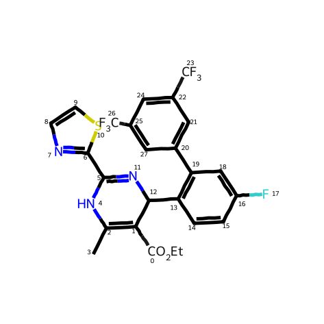 CCOC(=O)C1=C(C)NC(c2nccs2)=NC1c1ccc(F)cc1-c1cc(C(F)(F)F)cc(C(F)(F)F)c1